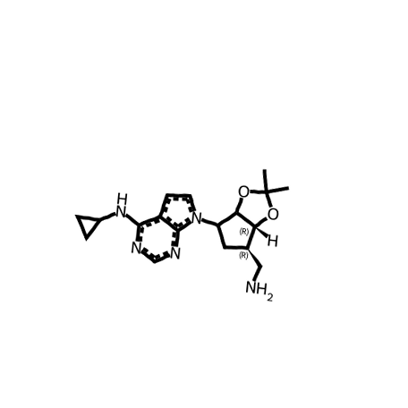 CC1(C)OC2C(n3ccc4c(NC5CC5)ncnc43)C[C@H](CN)[C@H]2O1